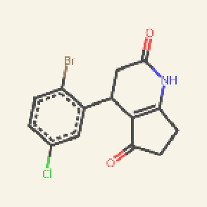 O=C1CC(c2cc(Cl)ccc2Br)C2=C(CCC2=O)N1